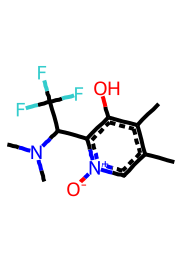 Cc1c[n+]([O-])c(C(N(C)C)C(F)(F)F)c(O)c1C